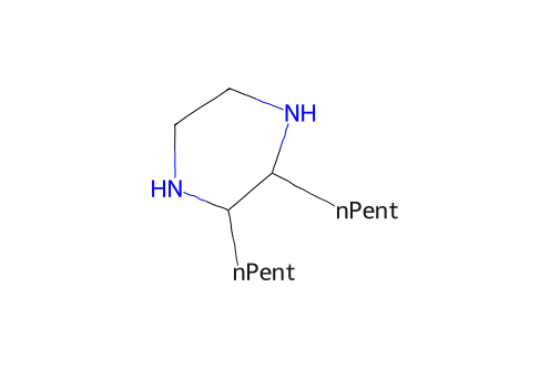 CCCCCC1NCCNC1CCCCC